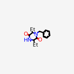 CCC1NC(=O)C(CC)N(Cc2ccccc2)C1=O